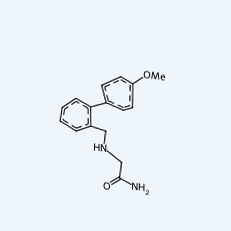 COc1ccc(-c2ccccc2CNCC(N)=O)cc1